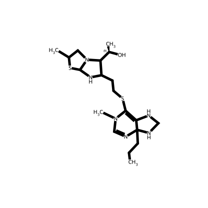 CCCC12N=CN(C)C(SCCC3NC4SC(C)CN4C3[C@@H](C)O)=C1NCN2